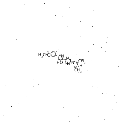 C[C@@H]1CN(c2cnc(-c3ncc(-c4ccc5nn(C)cc5c4)cc3O)nn2)C[C@H](C)N1